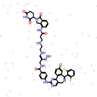 N=N/C(=C\NCCNCCC(=O)Nc1cccc2c1CN(C1CCC(=O)NC1=O)C2=O)CNC(=O)c1ccc(Nc2ncc3c(n2)-c2ccc(Cl)cc2C(c2c(F)cccc2F)=NC3)cc1